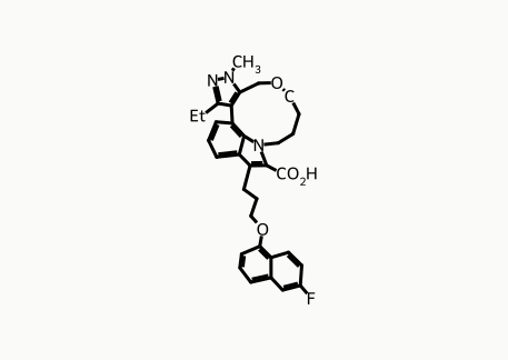 CCc1nn(C)c2c1-c1cccc3c(CCCOc4cccc5cc(F)ccc45)c(C(=O)O)n(c13)CCCCOC2